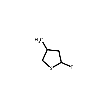 CC1CSC(F)C1